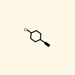 [C]#CC1CCC(Cl)CC1